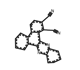 N#Cc1ccc2c3ccccc3c3nc4ccccc4nc3c2c1C#N